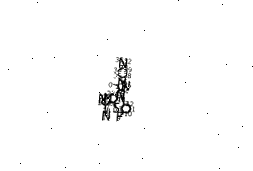 Cc1c(-c2cc(Sc3c(F)cccc3C#N)c3c(C#N)cnn3c2)cnn1[C@H]1CC[C@@H](N(C)C)CC1